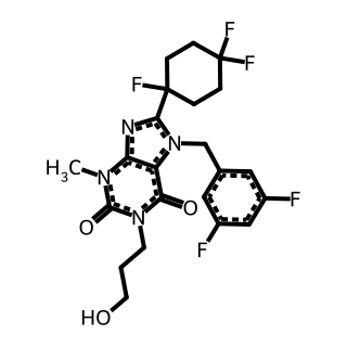 Cn1c(=O)n(CCCO)c(=O)c2c1nc(C1(F)CCC(F)(F)CC1)n2Cc1cc(F)cc(F)c1